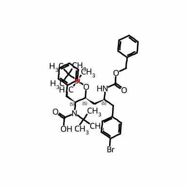 CC(C)(C)N(C(=O)O)[C@@H](Cc1ccccc1)[C@H](C[C@H](Cc1ccc(Br)cc1)NC(=O)OCc1ccccc1)O[Si](C)(C)C(C)(C)C